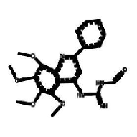 COc1c(OC)c(OC)c2c(NC(=N)NC=O)cc(-c3ccccc3)nc2c1OC